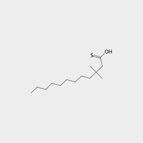 CCCCCCCCCC(C)(C)CC(O)=S